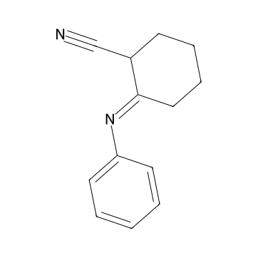 N#CC1CCCCC1=Nc1ccccc1